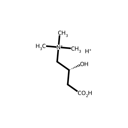 C[N+](C)(C)C[C@H](O)CC(=O)O.[H+]